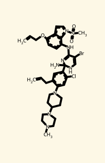 C=CCOc1ccc(NC2=NC(N)(c3cc(CC=C)c(N4CCC(N5CCN(C)CC5)CC4)cc3Cl)NC=C2Br)c2c1ccn2S(C)(=O)=O